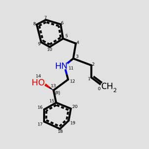 C=CCC(Cc1ccccc1)NC[C@H](O)c1ccccc1